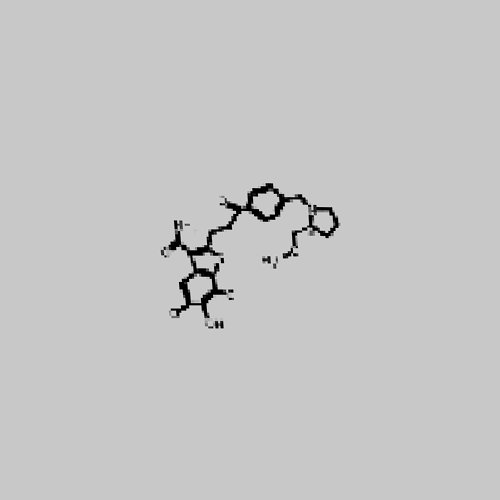 COC[C@@H]1CCCN1Cc1ccc(C(=O)CCc2sc3c(Cl)c(O)c(Cl)cc3c2C(N)=O)cc1